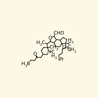 BCCC(=O)CC1CCC(C)(C(C)C2OC(C=O)C3C2CCC2(C)C3CC[C@]2(C)[C@H](C)CCCC(C)C)N(C)C1